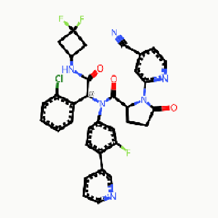 N#Cc1ccnc(N2C(=O)CCC2C(=O)N(c2ccc(-c3cccnc3)c(F)c2)[C@H](C(=O)NC2CC(F)(F)C2)c2ccccc2Cl)c1